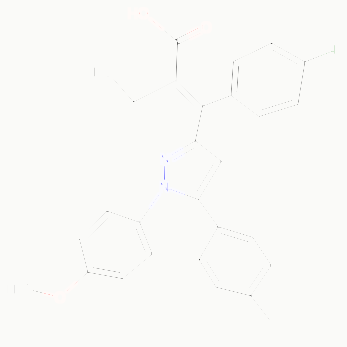 CCC(C(=O)O)=C(c1ccc(F)cc1)c1cc(-c2ccc(C)cc2)n(-c2ccc(OC)cc2)n1